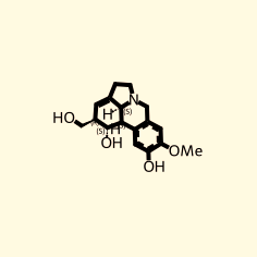 COc1cc2c(cc1O)[C@@H]1[C@H](O)[C@@H](CO)C=C3CCN(C2)[C@H]31